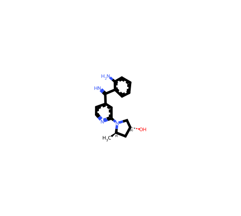 C[C@@H]1C[C@@H](O)CN1c1cc(C(=N)c2ccccc2N)ccn1